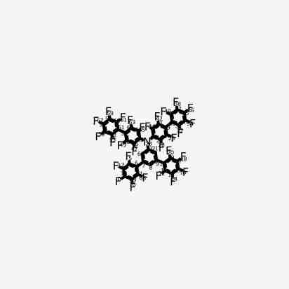 Fc1c(F)c(F)c(-c2cc(-c3c(F)c(F)c(F)c(F)c3F)cc(N(c3c(F)c(F)c(-c4c(F)c(F)c(F)c(F)c4F)c(F)c3F)c3c(F)c(F)c(-c4c(F)c(F)c(F)c(F)c4F)c(F)c3F)c2)c(F)c1F